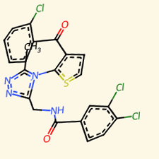 Cc1nnc(CNC(=O)c2ccc(Cl)c(Cl)c2)n1-c1sccc1C(=O)c1ccccc1Cl